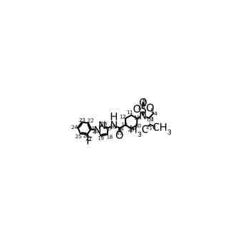 CC(C)[C@H]1COS(=O)(=O)N1C1CCC(C(=O)Nc2ccn(-c3ccccc3F)n2)CC1